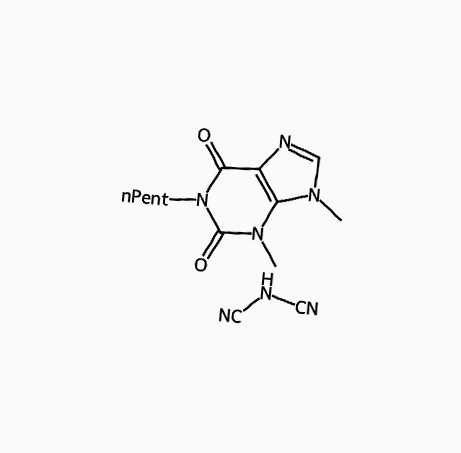 CCCCCn1c(=O)c2ncn(C)c2n(C)c1=O.N#CNC#N